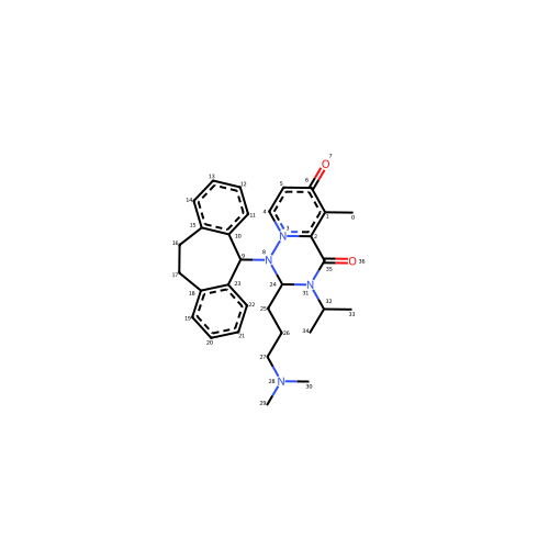 Cc1c2n(ccc1=O)N(C1c3ccccc3CCc3ccccc31)C(CCCN(C)C)N(C(C)C)C2=O